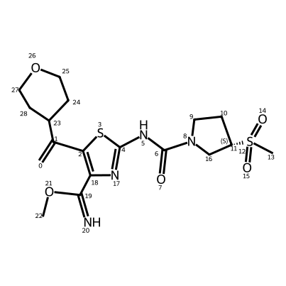 C=C(c1sc(NC(=O)N2CC[C@H](S(C)(=O)=O)C2)nc1C(=N)OC)C1CCOCC1